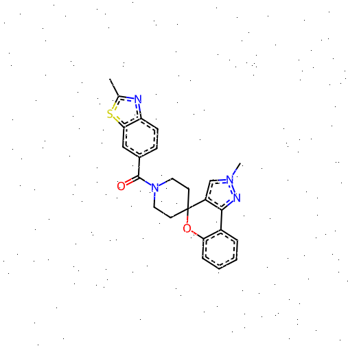 Cc1nc2ccc(C(=O)N3CCC4(CC3)Oc3ccccc3-c3nn(C)cc34)cc2s1